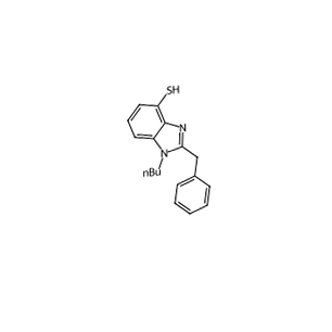 CCCCn1c(Cc2ccccc2)nc2c(S)cccc21